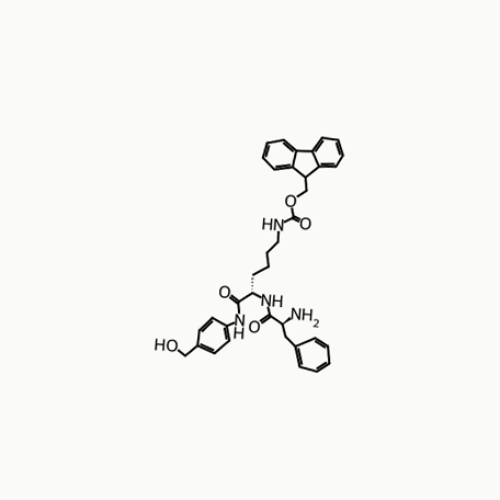 N[C@@H](Cc1ccccc1)C(=O)N[C@@H](CCCCNC(=O)OCC1c2ccccc2-c2ccccc21)C(=O)Nc1ccc(CO)cc1